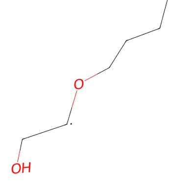 CCCCO[CH]CO